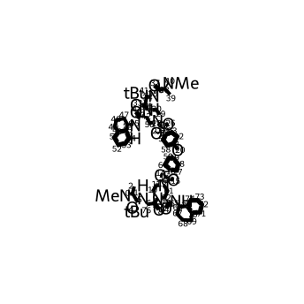 CNC(C)C(=O)N[C@H](C(=O)N1CCN(S(=O)(=O)c2ccc(Oc3ccc(S(=O)(=O)N4CCN(C(=O)[C@@H](NC(=O)[C@H](C)NC)C(C)(C)C)[C@H](C(=O)N[C@@H]5CCCc6ccccc65)C4)cc3)cc2)C[C@H]1C(=O)N[C@@H]1CCCc2ccccc21)C(C)(C)C